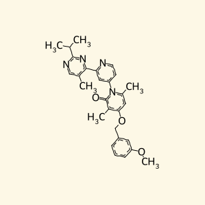 COc1cccc(COc2cc(C)n(-c3ccnc(-c4nc(C(C)C)ncc4C)c3)c(=O)c2C)c1